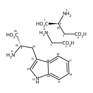 NCC(=O)O.N[C@@H](CC(=O)O)C(=O)O.N[C@@H](Cc1c[nH]c2ccccc12)C(=O)O